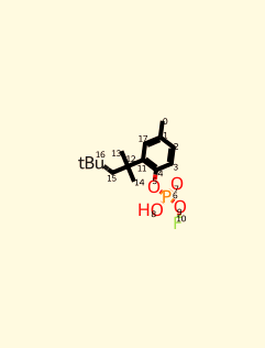 Cc1ccc(OP(=O)(O)OF)c(C(C)(C)CC(C)(C)C)c1